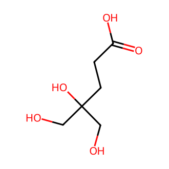 O=C(O)CCC(O)(CO)CO